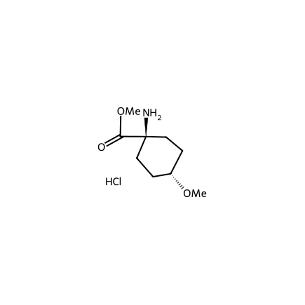 COC(=O)[C@]1(N)CC[C@H](OC)CC1.Cl